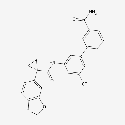 NC(=O)c1cccc(-c2cc(NC(=O)C3(c4ccc5c(c4)OCO5)CC3)cc(C(F)(F)F)c2)c1